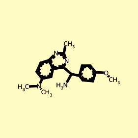 COc1ccc(C(N)c2nc(C)nc3ccc(N(C)C)cc23)cc1